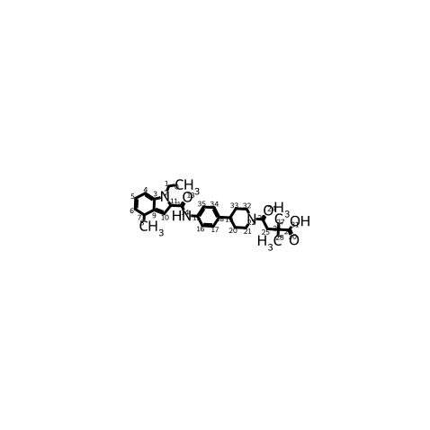 CCN1C2=CC=CC(C)C2=CC1C(=O)Nc1ccc(C2CCN(C(=O)CC(C)(C)C(=O)O)CC2)cc1